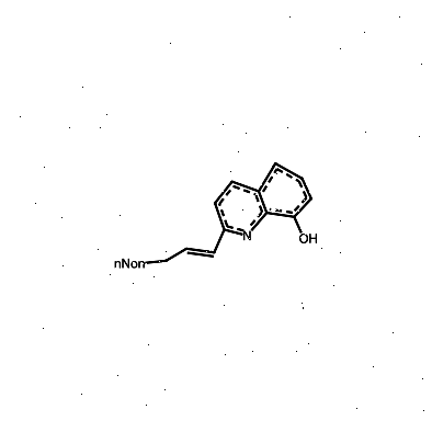 CCCCCCCCCCC=Cc1ccc2cccc(O)c2n1